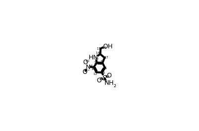 NS(=O)(=O)c1cc2c(c([N+](=O)[O-])c1)NC(CO)C2